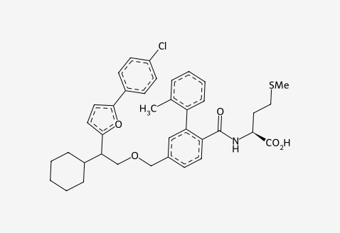 CSCC[C@H](NC(=O)c1ccc(COCC(c2ccc(-c3ccc(Cl)cc3)o2)C2CCCCC2)cc1-c1ccccc1C)C(=O)O